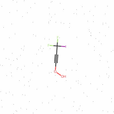 OOC#CC(F)(F)I